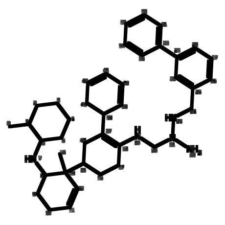 CC1CCCCC1NC1CCC=CC1(C)C1CCC(NCN(N)NCc2cccc(-c3ccccc3)c2)=C(C2C=CC=CC2)C1